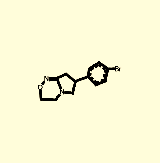 Brc1ccc(C2CC3=NOCCN3C2)cc1